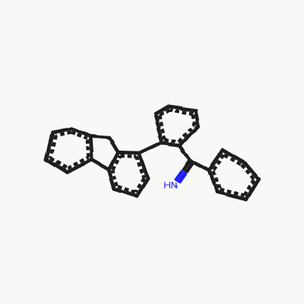 N=C(c1ccccc1)c1ccccc1-c1cccc2c1Cc1ccccc1-2